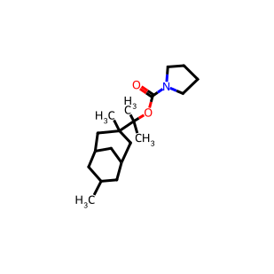 CC1CC2CC(C1)CC(C)(C(C)(C)OC(=O)N1CCCC1)C2